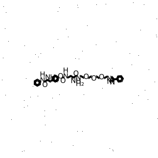 N[C@@H](CCNC(=O)Oc1ccc(C[C@H](N)C(=O)Nc2ccccc2)cc1)C(=O)NCCOCCOCCOCCn1cc(-c2ccccc2)nn1